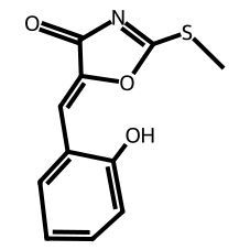 CSC1=NC(=O)C(=Cc2ccccc2O)O1